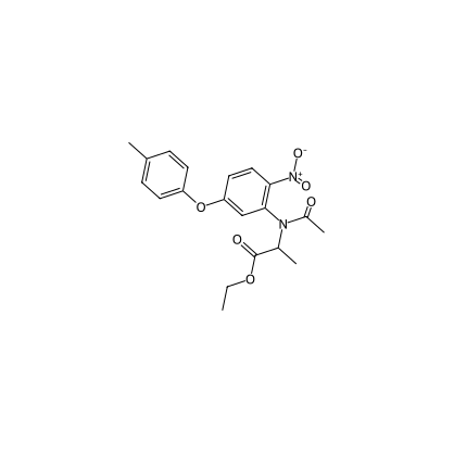 CCOC(=O)C(C)N(C(C)=O)c1cc(Oc2ccc(C)cc2)ccc1[N+](=O)[O-]